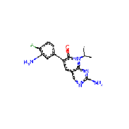 CC(C)n1c(=O)c(-c2ccc(F)c(N)c2)cc2cnc(N)nc21